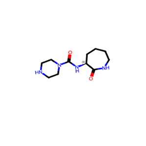 O=C1NCCCC[C@@H]1NC(=O)N1CCNCC1